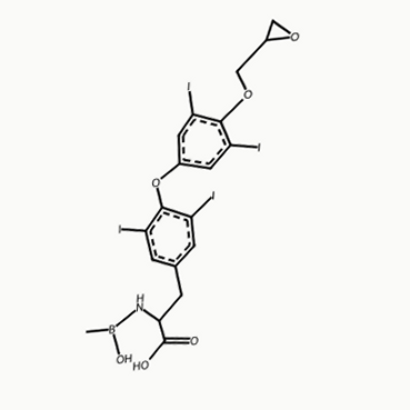 CB(O)NC(Cc1cc(I)c(Oc2cc(I)c(OCC3CO3)c(I)c2)c(I)c1)C(=O)O